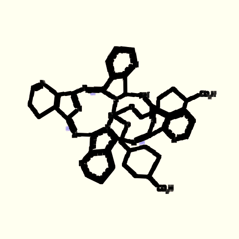 O=C(O)C1CCC(CO[Si]2(OCC3CCC(C(=O)O)CC3)N3/C4=N\C5=NC(=N\c6c7ncccc7c(n62)/N=C2\N=C(NC3c3ncccc34)c3cccnc32)/C2=C5N=CCC2)CC1